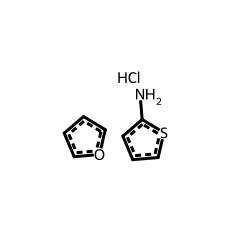 Cl.Nc1cccs1.c1ccoc1